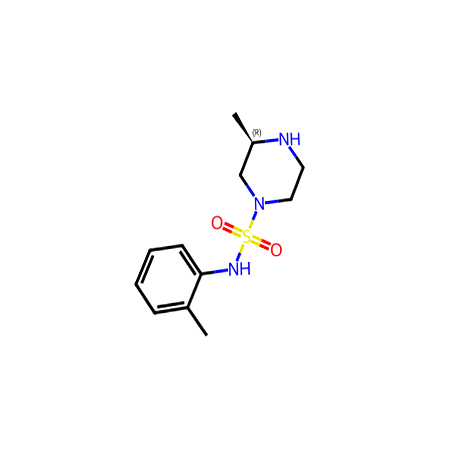 Cc1ccccc1NS(=O)(=O)N1CCN[C@H](C)C1